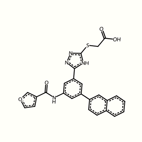 O=C(O)CSc1nnc(-c2cc(NC(=O)c3ccoc3)cc(-c3ccc4ccccc4c3)c2)[nH]1